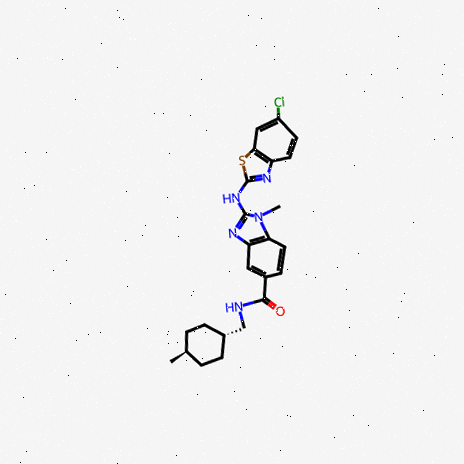 Cn1c(Nc2nc3ccc(Cl)cc3s2)nc2cc(C(=O)NC[C@H]3CC[C@H](C)CC3)ccc21